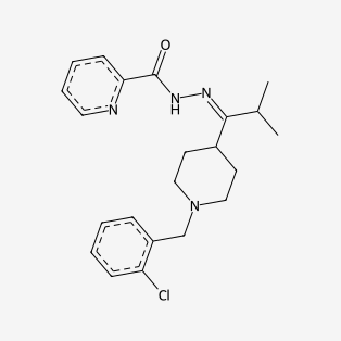 CC(C)C(=NNC(=O)c1ccccn1)C1CCN(Cc2ccccc2Cl)CC1